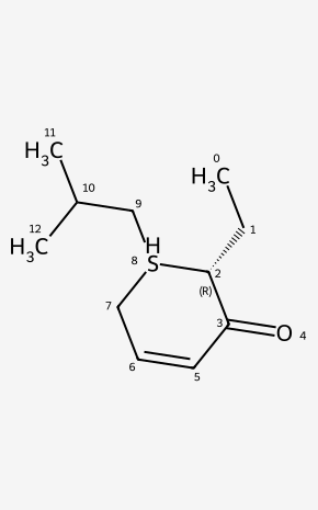 CC[C@@H]1C(=O)C=CC[SH]1CC(C)C